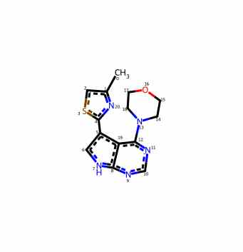 Cc1csc(-c2c[nH]c3ncnc(N4CCOCC4)c23)n1